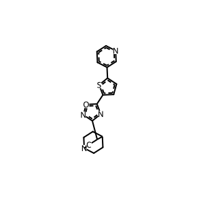 c1cncc(-c2ccc(-c3nc(C4CN5CCC4CC5)no3)s2)c1